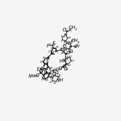 C=CC(=O)N1CC[C@H](C(=O)N(C)[C@H](C(=O)N[C@H]2Cc3cc(cc(C(F)F)c3)-c3ccc4c(c3)c(c(-c3cc(N5CCNCC5)cnc3[C@H](C)OC)n4CC)CC(C)(C)COC(=O)[C@@H]3CCCN(N3)C2=O)C(C)C)C1